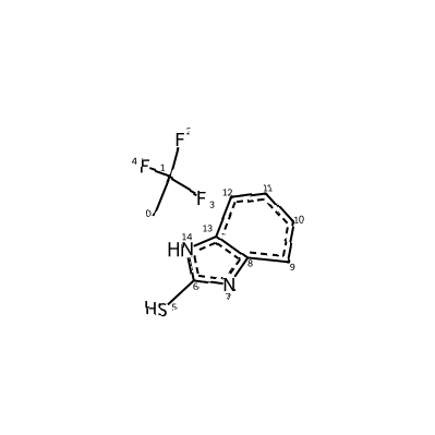 CC(F)(F)F.Sc1nc2ccccc2[nH]1